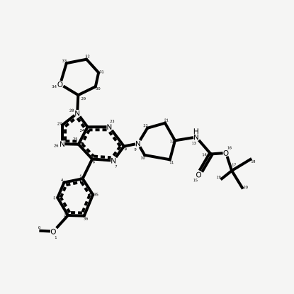 COc1ccc(-c2nc(N3CCC(NC(=O)OC(C)(C)C)CC3)nc3c2ncn3C2CCCCO2)cc1